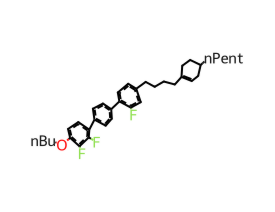 CCCCCC1CC=C(CCCCc2ccc(-c3ccc(-c4ccc(OCCCC)c(F)c4F)cc3)c(F)c2)CC1